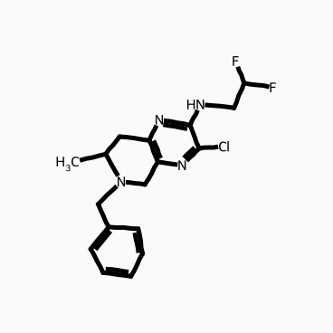 CC1Cc2nc(NCC(F)F)c(Cl)nc2CN1Cc1ccccc1